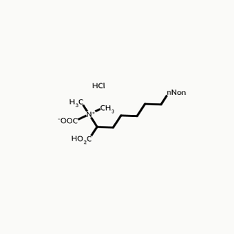 CCCCCCCCCCCCCCC(C(=O)O)[N+](C)(C)C(=O)[O-].Cl